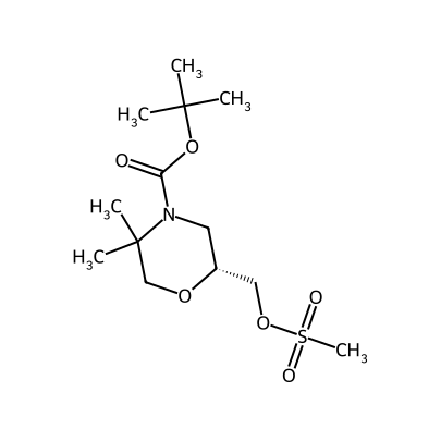 CC(C)(C)OC(=O)N1C[C@H](COS(C)(=O)=O)OCC1(C)C